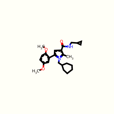 COc1ccc(OC)c(-c2cc(C(=O)NCC3CC3)c(C)n2CC2CCCCC2)c1